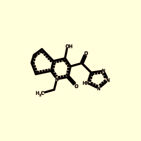 CCn1c(=O)c(C(=O)c2nnn[nH]2)c(O)c2ccccc21